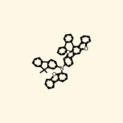 CC1(C)c2ccccc2-c2ccc(N(c3ccc4c(c3)oc3c(-c5ccccc5-c5ccccc5)c5c(cc34)oc3ccccc35)c3cccc4c3oc3ccccc34)cc21